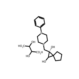 O=C(O)C(O)C(O)C(=O)O.OC1C2(CCCC2)[C@]1(O)CN1CCN(c2ccccc2)CC1